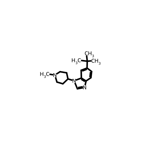 CN1CCC(n2cnc3ccc(C(C)(C)C)cc32)CC1